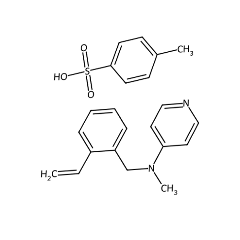 C=Cc1ccccc1CN(C)c1ccncc1.Cc1ccc(S(=O)(=O)O)cc1